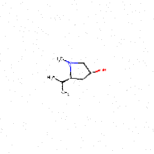 CC(C)[C@@H]1C[C@H](O)CN1C